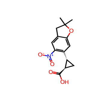 CC1(C)Cc2cc([N+](=O)[O-])c([C@@H]3C[C@H]3C(=O)O)cc2O1